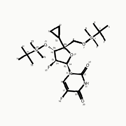 CC(C)(C)[Si](C)(C)OC[C@@]1(C2CC2)O[C@@H](n2cc(F)c(=O)[nH]c2=O)[C@@H](F)[C@@H]1O[Si](C)(C)C(C)(C)C